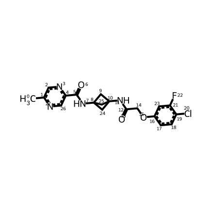 Cc1cnc(C(=O)NC23CC(NC(=O)COc4ccc(Cl)c(F)c4)(C2)C3)cn1